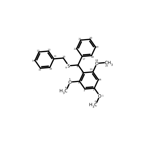 COc1cc(OC)c(C(SCc2ccccc2)c2ccccc2)c(OC)c1